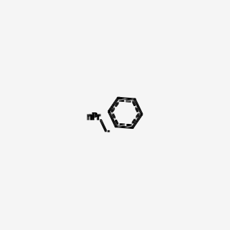 [CH2]CCC.c1ccccc1